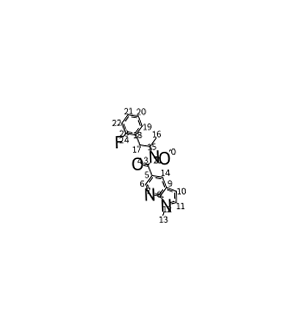 CON(C(=O)c1cnc2c(ccn2C)c1)C(C)Cc1ccccc1F